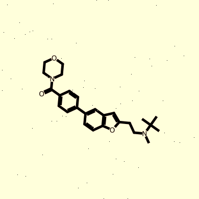 CN(CCc1cc2cc(-c3ccc(C(=O)N4CCOCC4)cc3)ccc2o1)C(C)(C)C